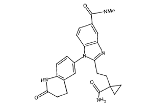 CNC(=O)c1ccc2c(c1)nc(CCC1(C(N)=O)CC1)n2-c1ccc2c(c1)CCC(=O)N2